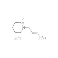 CCCCC=CCN1CCCC[C@@H]1C.Cl